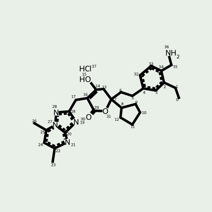 CCc1cc(CCC2(C3CCCC3)CC(O)=C(Cc3nc4nc(C)cc(C)n4n3)C(=O)O2)ccc1CN.Cl